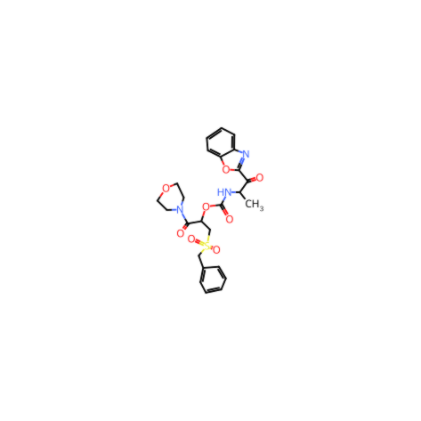 CC(NC(=O)OC(CS(=O)(=O)Cc1ccccc1)C(=O)N1CCOCC1)C(=O)c1nc2ccccc2o1